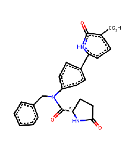 O=C1CC[C@@H](C(=O)N(Cc2ccccc2)c2ccc(-c3ccc(C(=O)O)c(=O)[nH]3)cc2)N1